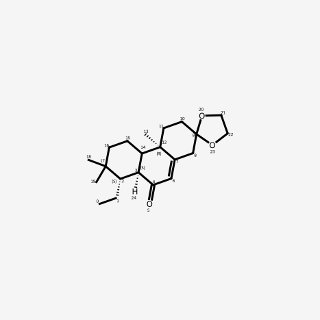 CC[C@H]1[C@@H]2C(=O)C=C3CC4(CC[C@]3(C)C2CCC1(C)C)OCCO4